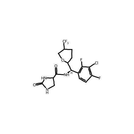 O=C1NCC(C(=O)N[C@H](c2ccc(F)c(Cl)c2F)C2CCC(C(F)(F)F)CO2)N1